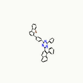 c1ccc(-c2nc(-c3ccc(-c4cccc5c4sc4ccccc45)cc3)nc(-c3ccc4ccccc4c3-c3ccccc3)n2)cc1